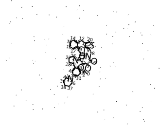 CC1(C)O[C@@H](C(=O)NCc2cc(Cc3ccccc3Cl)cs2)[C@H](C(=O)N2CCC[C@@H]2c2cccc(N3CCCCC3)c2)O1